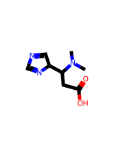 CN(C)C(CC(=O)O)C1C=NC=N1